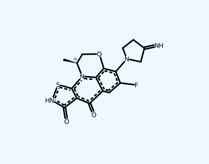 C[C@H]1COc2c(N3CCC(=N)C3)c(F)cc3c(=O)c4c(=O)[nH]sc4n1c23